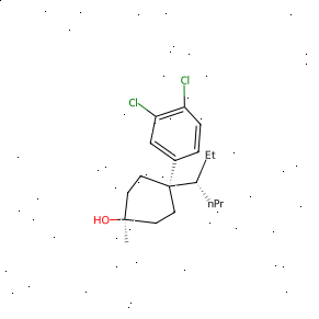 CCC[C@@H](CC)[C@]1(c2ccc(Cl)c(Cl)c2)CC[C@](C)(O)CC1